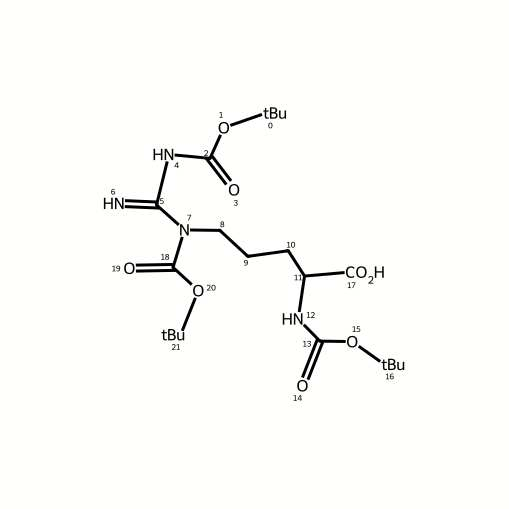 CC(C)(C)OC(=O)NC(=N)N(CCCC(NC(=O)OC(C)(C)C)C(=O)O)C(=O)OC(C)(C)C